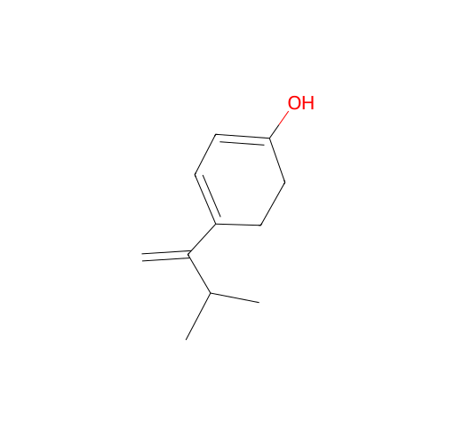 C=C(C1=CC=C(O)CC1)C(C)C